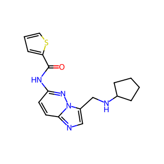 O=C(Nc1ccc2ncc(CNC3CCCC3)n2n1)c1cccs1